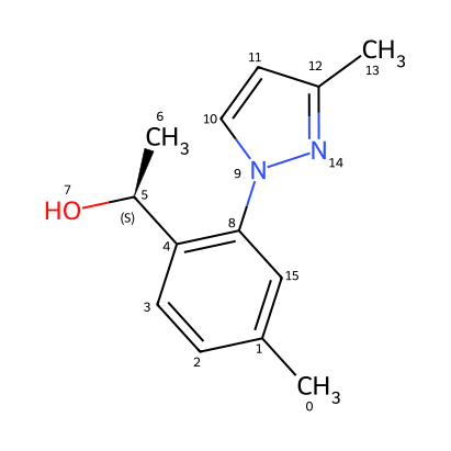 Cc1ccc([C@H](C)O)c(-n2ccc(C)n2)c1